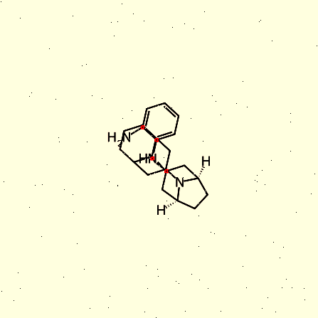 Nc1ccccc1N[C@H]1C[C@H]2CC[C@@H](C1)N2C1CC2CCCC(C2)C1